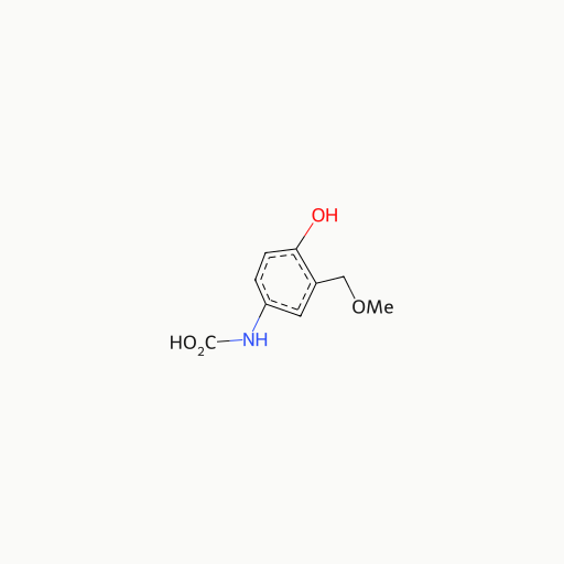 COCc1cc(NC(=O)O)ccc1O